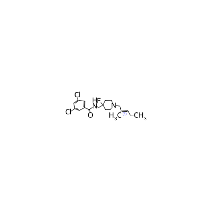 CC/C=C(\C)CN1CCC(F)(CNC(=O)c2cc(Cl)cc(Cl)c2)CC1